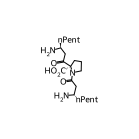 CCCCC[C@H](N)CC(=O)N1CCC[C@]1(C(=O)O)C(=O)C[C@@H](N)CCCCC